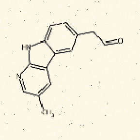 Cc1cnc2[nH]c3ccc(CC=O)cc3c2c1